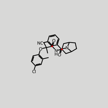 Cc1cc(Cl)ccc1OC(C)(C)C(=O)NC1CC2CCC(C1)N2C(=O)c1cccc(C#N)c1